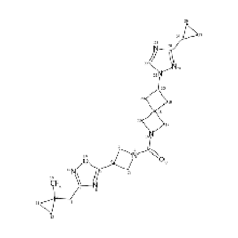 O=C(N1CC(c2nc(CC3(C(F)(F)F)CC3)no2)C1)N1CC2(CC(n3cnc(C4CC4)n3)C2)C1